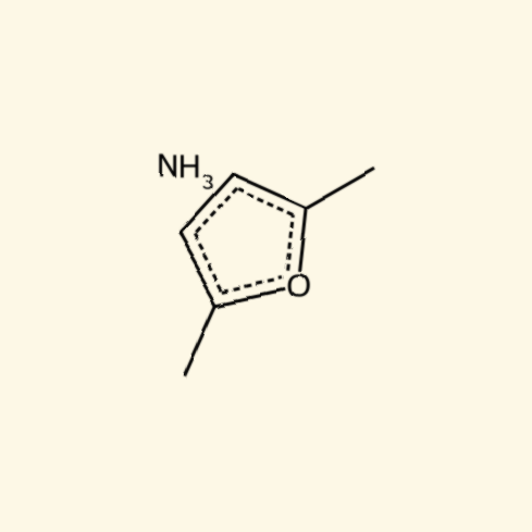 Cc1ccc(C)o1.N